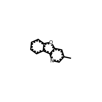 Cc1cnc2c(c1)oc1ccccc12